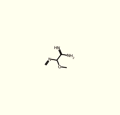 C=NC(OC)C(=N)N